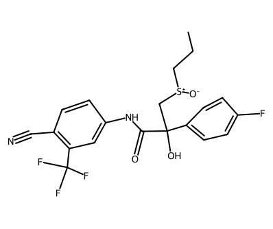 CCC[S+]([O-])CC(O)(C(=O)Nc1ccc(C#N)c(C(F)(F)F)c1)c1ccc(F)cc1